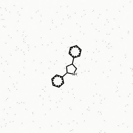 c1ccc(C2CNC(c3ccccc3)C2)cc1